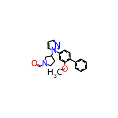 COc1cc([N+]2(C3CCN(C=O)C3)C=CC=N2)ccc1-c1ccccc1